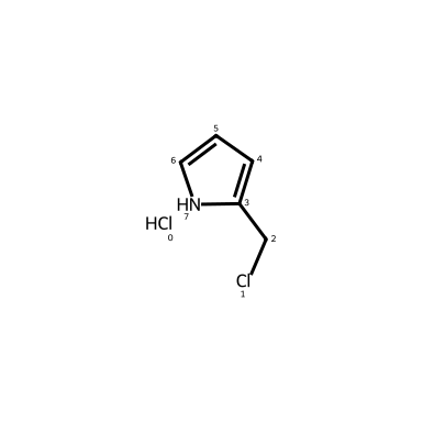 Cl.ClCc1ccc[nH]1